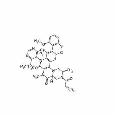 C=CC(=O)N1C[C@@H]2C(=O)N(C)c3c(c4cc(Cl)c(-c5c(F)cccc5OC)c(F)c4n(-c4c(C)ncnc4C(C)C)c3=O)N2C[C@H]1C